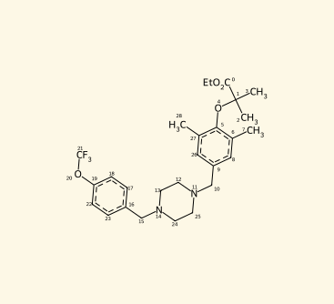 CCOC(=O)C(C)(C)Oc1c(C)cc(CN2CCN(Cc3ccc(OC(F)(F)F)cc3)CC2)cc1C